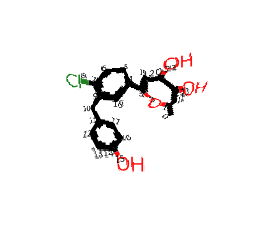 CC1OC(c2ccc(Cl)c(Cc3ccc(O)cc3)c2)=CC(O)C1O